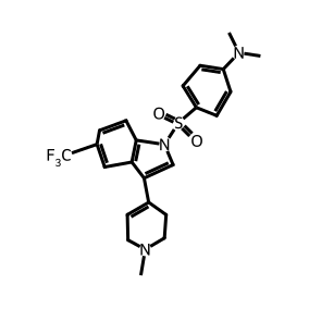 CN1CC=C(c2cn(S(=O)(=O)c3ccc(N(C)C)cc3)c3ccc(C(F)(F)F)cc23)CC1